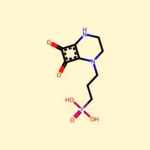 O=c1c2c(c1=O)N(CCCP(=O)(O)O)CCN2